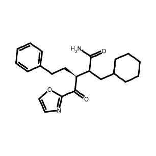 NC(=O)C(CC1CCCCC1)[C@H](CCc1ccccc1)C(=O)c1ncco1